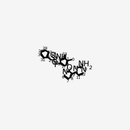 Cc1c(Oc2ncccc2-c2ccnc(N)n2)cc(F)c(NS(=O)(=O)Cc2ccccc2)c1C